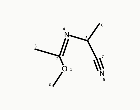 CO/C(C)=N\C(C)C#N